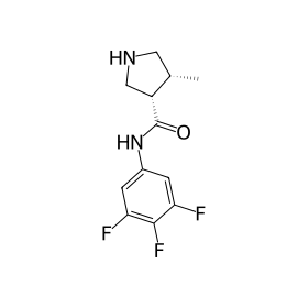 C[C@H]1CNC[C@H]1C(=O)Nc1cc(F)c(F)c(F)c1